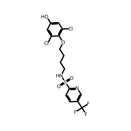 O=S(=O)(NCCCCOc1c(Cl)cc(O)cc1Cl)c1ccc(C(F)(F)F)cn1